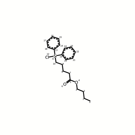 CCCCOC(=O)CCCC[Si](Cl)(c1ccccc1)c1ccccc1